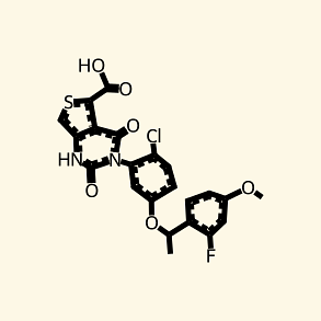 COc1ccc(C(C)Oc2ccc(Cl)c(-n3c(=O)[nH]c4csc(C(=O)O)c4c3=O)c2)c(F)c1